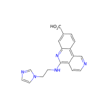 O=C(O)c1ccc2c(c1)nc(NCCn1ccnc1)c1ccncc12